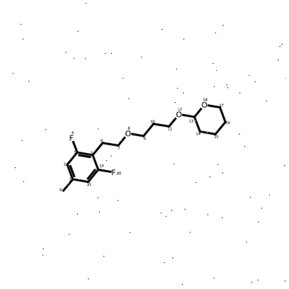 Cc1cc(F)c(CCOCCCOC2CCCCO2)c(F)c1